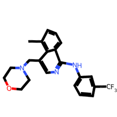 Cc1cccc2c(Nc3cccc(C(F)(F)F)c3)ncc(CN3CCOCC3)c12